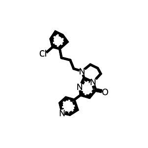 O=c1cc(-c2ccncc2)nc2n1CCCN2CCCc1ccccc1Cl